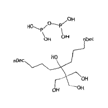 CCCCCCCCCCCCCC(O)(CCCCCCCCCCCCC)C(CO)(CO)CO.OP(O)OP(O)O